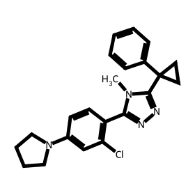 Cn1c(-c2ccc(N3CCCC3)cc2Cl)nnc1C1(c2ccccc2)CC1